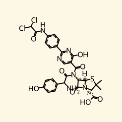 CC1(C)S[C@@H]2[C@H](N(C(=O)c3cnc(-c4ccc(NC(=O)C(Cl)Cl)cc4)nc3O)C(=O)C(N)c3ccc(O)cc3)C(=O)N2[C@H]1C(=O)O